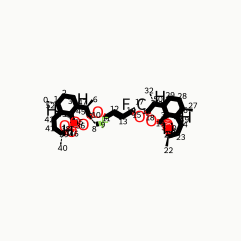 C[C@@H]1CC[C@H]2[C@@H](C)[C@@](CF)(OC/C=C/CO[C@@]3(C(F)(F)F)O[C@@H]4O[C@]5(C)CC[C@H]6[C@H](C)CC[C@@H]([C@H]3C)[C@@]46OO5)O[C@@H]3O[C@]4(C)CC[C@@H]1[C@]32OO4